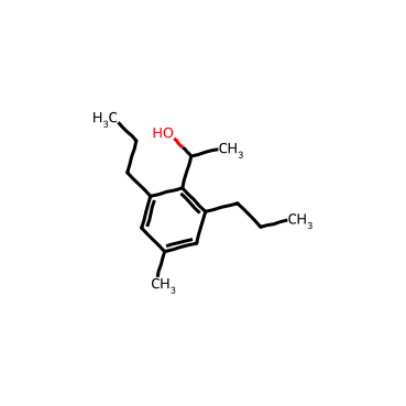 CCCc1cc(C)cc(CCC)c1C(C)O